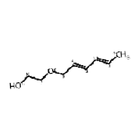 C/C=C/C=C/COCCO